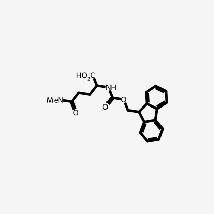 CNC(=O)CCC(NC(=O)OCC1c2ccccc2-c2ccccc21)C(=O)O